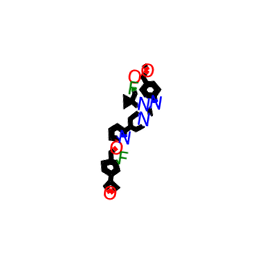 COC(=O)c1ccc2nc(CN3CCC(c4cccc(OCc5ccc(C6COC6)cc5F)n4)CC3)n(CC3(CF)CC3)c2c1